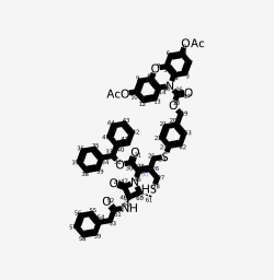 CC(=O)Oc1ccc2c(c1)Oc1cc(OC(C)=O)ccc1N2C(=O)OCc1ccc(SC/C(CS)=C(\C(=O)OC(c2ccccc2)c2ccccc2)N2C(=O)[C@@H](NC(=O)Cc3ccccc3)[C@H]2C)cc1